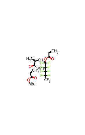 C=C(C)C(=O)OC.C=CC(=O)OC(F)(F)C(F)(F)C(F)(F)C(F)(F)C(F)(F)F.C=CC(=O)OCCCC